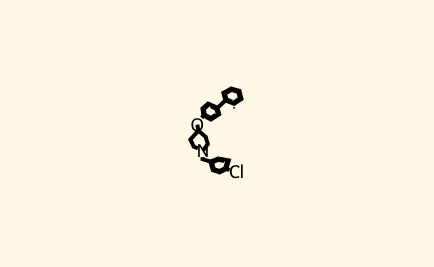 Clc1ccc(CN2CCC(Oc3ccc(-c4[c]cccc4)cc3)CC2)cc1